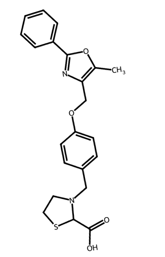 Cc1oc(-c2ccccc2)nc1COc1ccc(CN2CCSC2C(=O)O)cc1